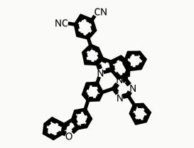 N#Cc1cc(C#N)cc(-c2ccc3c(c2)c2ccccc2n3-c2ccc(-c3ccc4oc5ccccc5c4c3)cc2-c2nc(-c3ccccc3)nc(-c3ccccc3)n2)c1